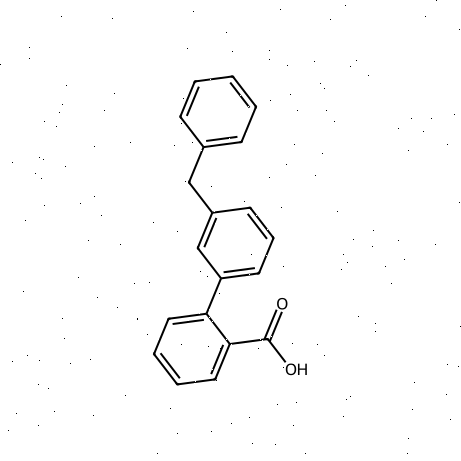 O=C(O)c1ccccc1-c1cccc(Cc2ccccc2)c1